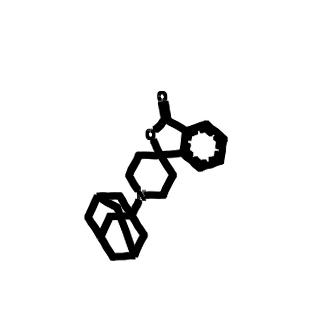 O=C1OC2(CCN(C34CC5CC(CC(C5)C3)C4)CC2)c2ccccc21